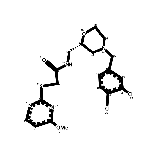 COc1ccnc(SCC(=O)NC[C@H]2CN(Cc3ccc(Cl)c(Cl)c3)CCO2)n1